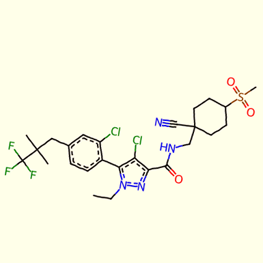 CCn1nc(C(=O)NCC2(C#N)CCC(S(C)(=O)=O)CC2)c(Cl)c1-c1ccc(CC(C)(C)C(F)(F)F)cc1Cl